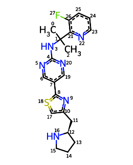 CC(C)(Nc1ncc(-c2nc(C[C@H]3CCCN3)cs2)cn1)c1ncccc1F